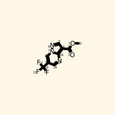 COC(=O)c1cnn2cc(C(F)(F)F)cnc12